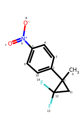 CC1(c2ccc([N+](=O)[O-])cc2)CC1(F)F